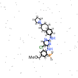 COCc1ccc(Nc2nc(Nc3ccc4c(c3)CCC(N3CCCC3)CC4)ncc2Cl)c(P(C)C)c1